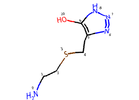 NCCSCc1nn[nH]c1O